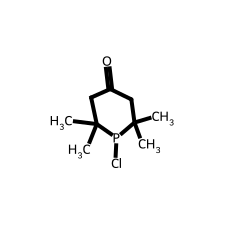 CC1(C)CC(=O)CC(C)(C)P1Cl